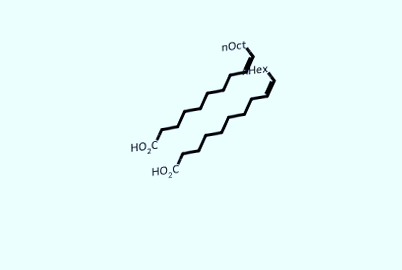 CCCCCC/C=C\CCCCCCCC(=O)O.CCCCCCCC/C=C\CCCCCCCC(=O)O